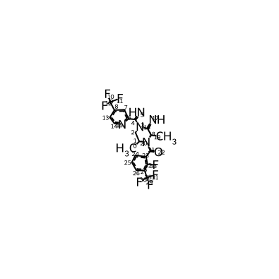 CC1CN(C(=N)c2cc(C(F)(F)F)ccn2)C(=N)C(C)N1C(=O)c1cccc(C(F)(F)F)c1F